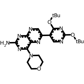 CC(C)(C)Oc1ncc(-c2cnc3nc(N)nc(N4CCOCC4)c3n2)c(OC(C)(C)C)n1